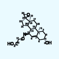 C[C@]12CC[C@H](O)CC1=CC(=NOCC(=O)O)C1C2CC[C@@]2(C)C1CC[C@@]21CO1